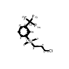 C[Si](C)(CCCCl)c1cccc(C(F)(F)F)c1